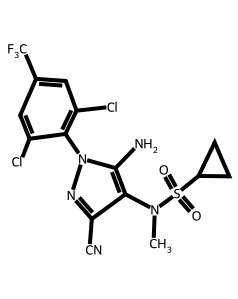 CN(c1c(C#N)nn(-c2c(Cl)cc(C(F)(F)F)cc2Cl)c1N)S(=O)(=O)C1CC1